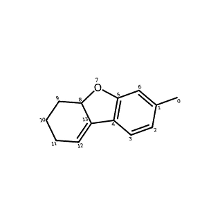 Cc1ccc2c(c1)OC1CCCC=C21